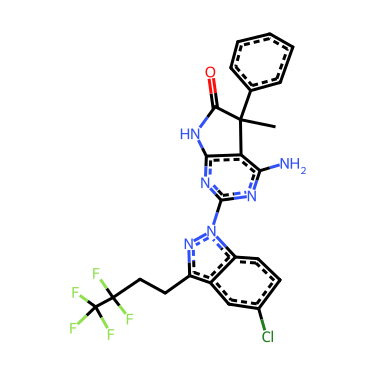 CC1(c2ccccc2)C(=O)Nc2nc(-n3nc(CCC(F)(F)C(F)(F)F)c4cc(Cl)ccc43)nc(N)c21